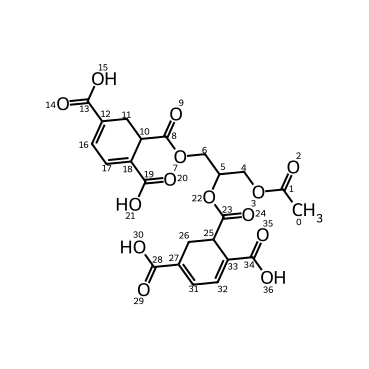 CC(=O)OCC(COC(=O)C1CC(C(=O)O)=CC=C1C(=O)O)OC(=O)C1CC(C(=O)O)=CC=C1C(=O)O